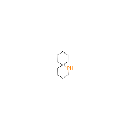 C1CCC2(CC1)CCCCP2